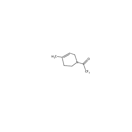 CC1=CCN(C(=O)C(F)(F)F)CC1